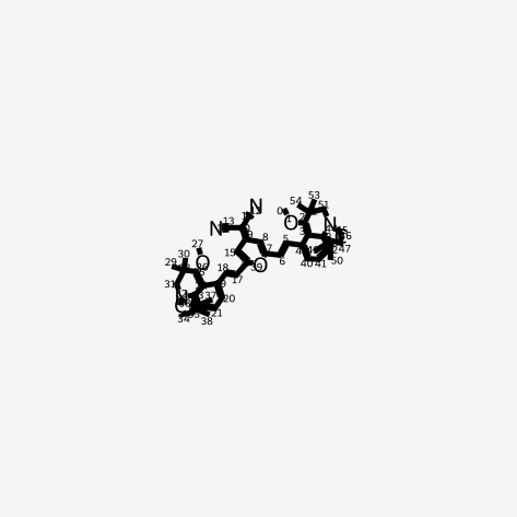 COC1=C2C(C=CC3=CC(=C(C#N)C#N)C=C(C=CC4=CC=CC56C4=C(OC)C(C)(C)CN5CCCC6(C)C)O3)=CC=CC23N(CCCC3(C)C)CC1(C)C